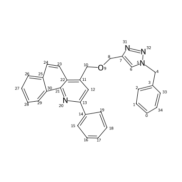 c1ccc(Cn2cc(COCc3cc(-c4ccccc4)nc4c3ccc3ccccc34)nn2)cc1